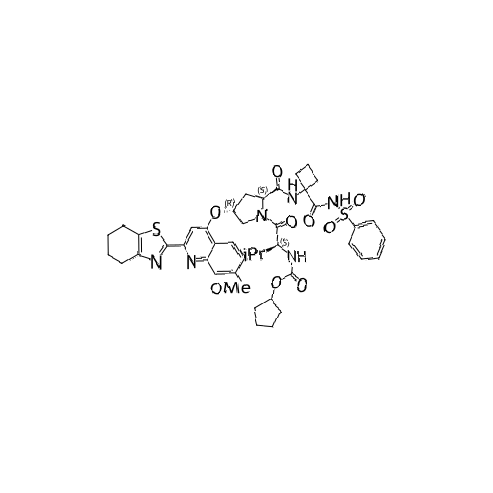 COc1ccc2c(O[C@@H]3C[C@@H](C(=O)NC4(C(=O)NS(=O)(=O)c5ccccc5)CCC4)N(C(=O)[C@@H](NC(=O)OC4CCCC4)C(C)C)C3)cc(-c3nc4c(s3)CCCC4)nc2c1